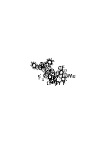 COc1cc(F)c(C(C)C)cc1-c1ccc(C(F)(F)F)cc1CN(C(=O)OC(C)(C)C)C(C)C(OC(=O)OC(C)COP(=O)(OCc1ccccc1)OCc1ccccc1)c1cc(C(F)(F)F)cc(C(F)(F)F)c1